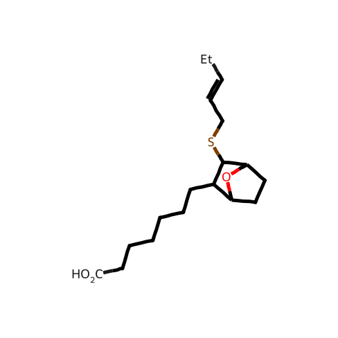 CCC=CCSC1C2CCC(O2)C1CCCCCCC(=O)O